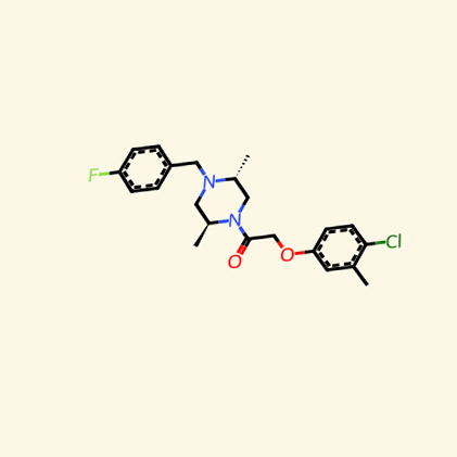 Cc1cc(OCC(=O)N2C[C@@H](C)N(Cc3ccc(F)cc3)C[C@@H]2C)ccc1Cl